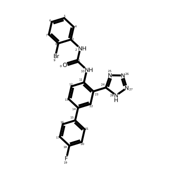 O=C(Nc1ccccc1Br)Nc1ccc(-c2ccc(F)cc2)cc1-c1nnn[nH]1